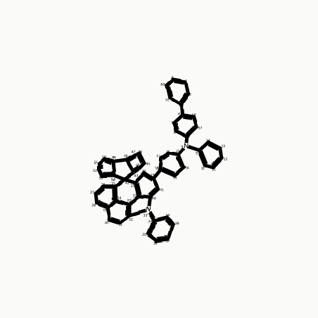 c1ccc(-c2ccc(N(c3ccccc3)c3ccc(-c4cc5c6c7c8c(cccc8ccc7n(-c7ccccc7)c6c4)C54c5ccccc5-c5ccccc54)cc3)cc2)cc1